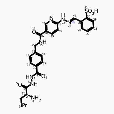 CC(C)C[C@H](N)C(=O)NNC(=O)c1ccc(CNC(=O)c2ccc(N/N=C/c3ccccc3S(=O)(=O)O)nc2)cc1